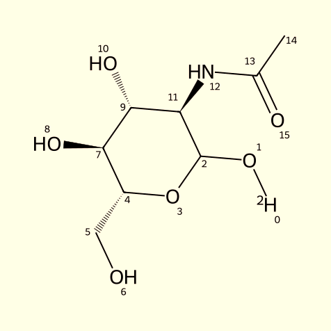 [2H]OC1O[C@H](CO)[C@@H](O)[C@H](O)[C@H]1NC(C)=O